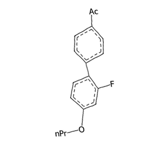 CCCOc1ccc(-c2ccc(C(C)=O)cc2)c(F)c1